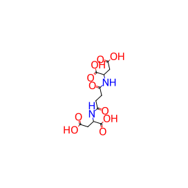 O=C(O)CC(NC(=O)CCC(=O)NC(CC(=O)O)C(=O)O)C(=O)O